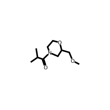 COCC1CN(C(=O)C(C)C)CCO1